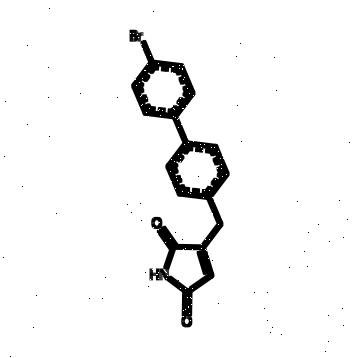 O=C1C=C(Cc2ccc(-c3ccc(Br)cc3)cc2)C(=O)N1